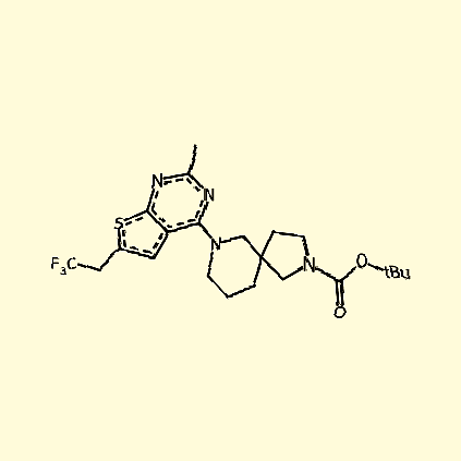 Cc1nc(N2CCCC3(CCN(C(=O)OC(C)(C)C)C3)C2)c2cc(CC(F)(F)F)sc2n1